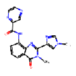 Cn1cnc(-c2nc3c(NC(=O)c4cnccn4)cccc3c(=O)n2C)c1